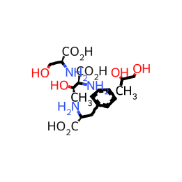 CC(O)CO.C[C@@H](O)[C@H](N)C(=O)O.N[C@@H](CO)C(=O)O.N[C@@H](Cc1ccccc1)C(=O)O